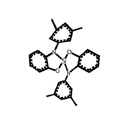 Cc1cc(C)cc(N2c3ccccc3O[Si]23Oc2ccccc2N3c2cc(C)cc(C)c2)c1